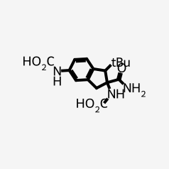 CC(C)(C)C1c2ccc(NC(=O)O)cc2CC1(NC(=O)O)C(N)=O